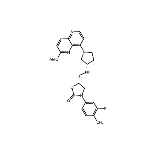 COc1ccc2nccc(N3CC[C@H](NC[C@@H]4CN(c5ccc(C)c(F)c5)C(=O)O4)C3)c2n1